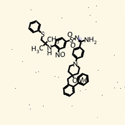 COC1(Cc2ccccc2-c2ccccc2)CCN(c2ccc(/C(N)=N\S(=O)(=O)c3ccc(NC(C)(C)CSc4ccccc4)c(N=O)c3)cc2)CC1